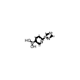 OB(O)c1ccc(-n2cncn2)nc1